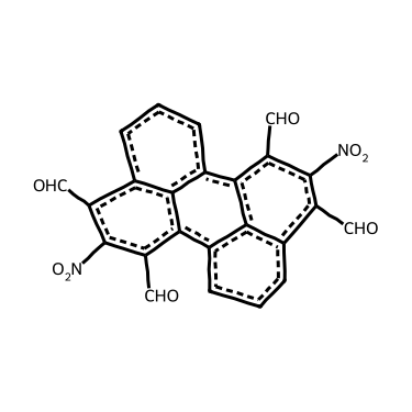 O=Cc1c([N+](=O)[O-])c(C=O)c2c3cccc4c(C=O)c([N+](=O)[O-])c(C=O)c(c5cccc1c52)c43